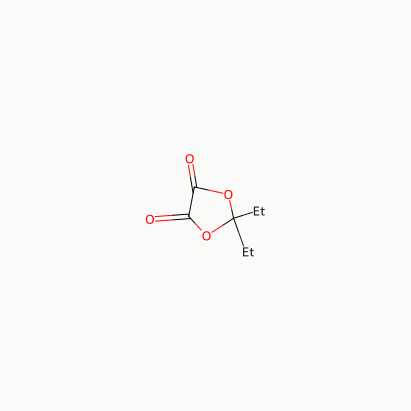 CCC1(CC)OC(=O)C(=O)O1